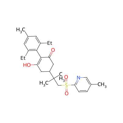 CCc1cc(C)cc(CC)c1C1=C(O)CC(C(C)(C)CS(=O)(=O)c2ccc(C)cn2)CC1=O